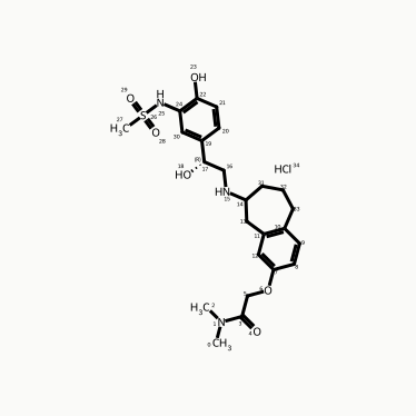 CN(C)C(=O)COc1ccc2c(c1)CC(NC[C@H](O)c1ccc(O)c(NS(C)(=O)=O)c1)CCC2.Cl